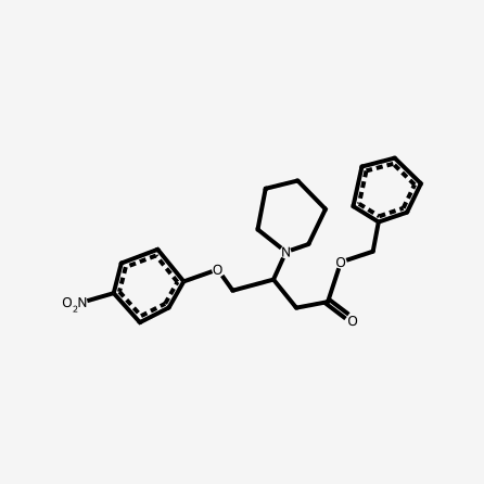 O=C(CC(COc1ccc([N+](=O)[O-])cc1)N1CCCCC1)OCc1ccccc1